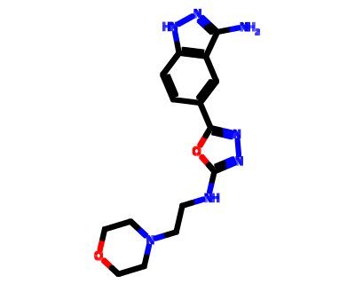 Nc1n[nH]c2ccc(-c3nnc(NCCN4CCOCC4)o3)cc12